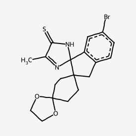 CC1=NC2(NC1=S)c1cc(Br)ccc1CC21CCC2(CC1)OCCO2